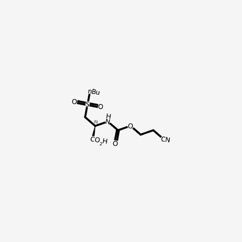 CCCCS(=O)(=O)C[C@@H](NC(=O)OCCC#N)C(=O)O